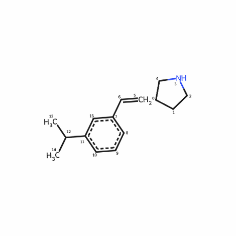 C1CCNC1.C=Cc1cccc(C(C)C)c1